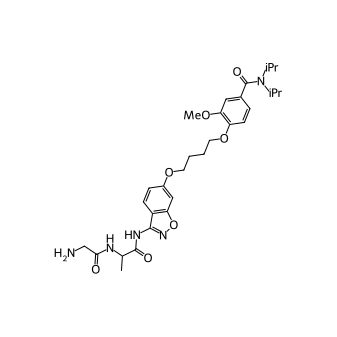 COc1cc(C(=O)N(C(C)C)C(C)C)ccc1OCCCCOc1ccc2c(NC(=O)C(C)NC(=O)CN)noc2c1